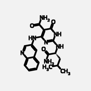 CC(C)C[C@@H](Nc1nc(Nc2cnc3ccccc3c2)c(C(N)=O)c(=O)[nH]1)C(N)=O